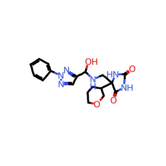 O=C1NC(=O)C(CNC(O)c2cnn(-c3ccccc3)n2)(C2CCCOC2)N1